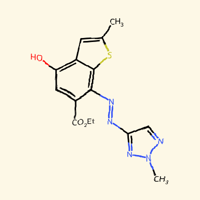 CCOC(=O)c1cc(O)c2cc(C)sc2c1/N=N/c1cnn(C)n1